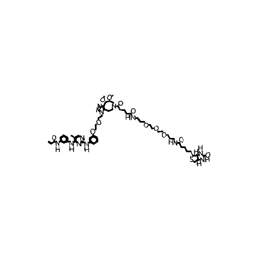 C=CC(=O)Nc1cccc(Nc2nc(Nc3cccc(OCCOCCn4nnc5c4CCN(C(=O)CCCC(=O)NCCCOCCOCCOCCCNC(=O)CCCC[C@@H]4SC[C@@H]6NC(=O)N[C@@H]64)C[C@H](OC)[C@H]5OC)c3)ncc2C)c1